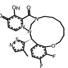 Cc1cnsc1[C@H]1c2ccc(F)c(F)c2OCCCCCCN2CN1n1ccc(=O)c(O)c1C2=O